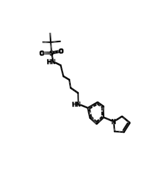 CC(C)(C)S(=O)(=O)NCCCCCNc1ccc(N2CC=CC2)cc1